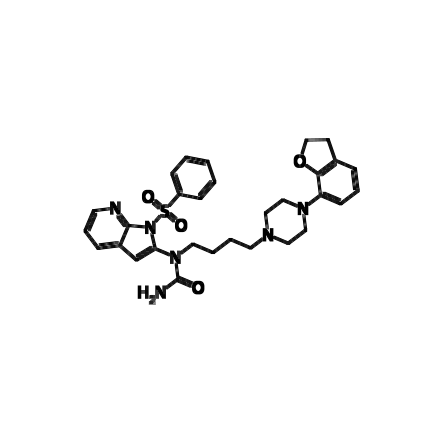 NC(=O)N(CCCCN1CCN(c2cccc3c2OCC3)CC1)c1cc2cccnc2n1S(=O)(=O)c1ccccc1